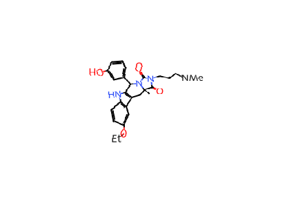 CCOc1ccc2[nH]c3c(c2c1)CC1(C)C(=O)N(CCCNC)C(=O)N1C3c1cccc(O)c1